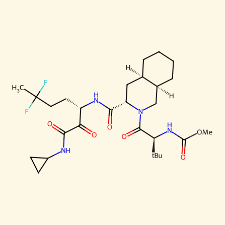 COC(=O)N[C@H](C(=O)N1C[C@@H]2CCCC[C@@H]2C[C@H]1C(=O)N[C@@H](CCC(C)(F)F)C(=O)C(=O)NC1CC1)C(C)(C)C